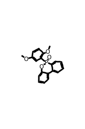 COc1ccc(OC)c(P2(=O)Oc3ccccc3-c3ccccc32)c1